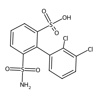 NS(=O)(=O)c1cccc(S(=O)(=O)O)c1-c1cccc(Cl)c1Cl